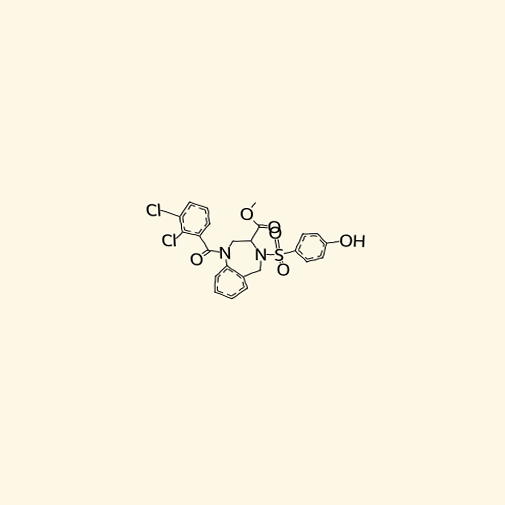 COC(=O)C1CN(C(=O)c2cccc(Cl)c2Cl)c2ccccc2CN1S(=O)(=O)c1ccc(O)cc1